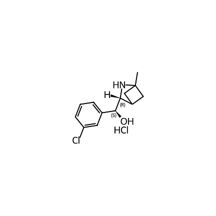 CC12CC(C1)[C@H]([C@@H](O)c1cccc(Cl)c1)N2.Cl